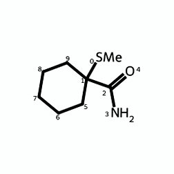 CSC1(C(N)=O)CCCCC1